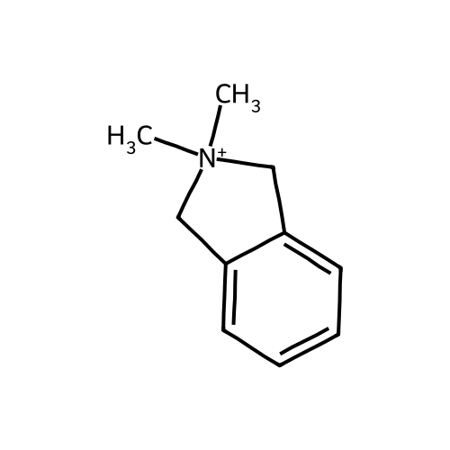 C[N+]1(C)Cc2ccccc2C1